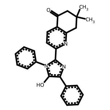 CC1(C)CC(=O)c2ccc(-c3nc(-c4ccccc4)c(O)n3-c3ccccc3)nc2C1